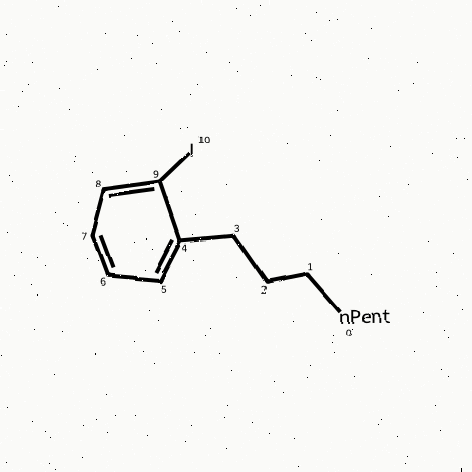 CCCCCCCCc1ccccc1I